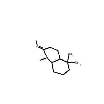 BC1(N)CCCC2C1CC/C(=N\C)N2C